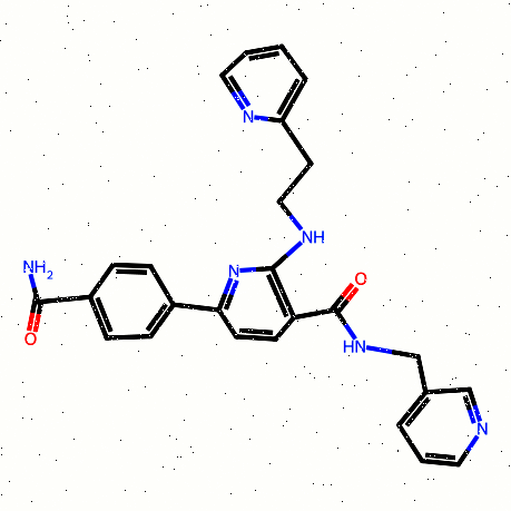 NC(=O)c1ccc(-c2ccc(C(=O)NCc3cccnc3)c(NCCc3ccccn3)n2)cc1